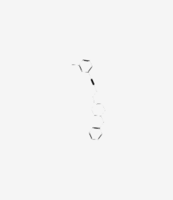 Clc1cccc(C#CCCN2CCC(Cc3ccccc3)CC2)c1